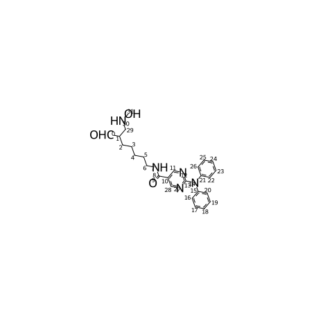 O=CC(CCCCCNC(=O)c1cnc(N(c2ccccc2)c2ccccc2)nc1)CNO